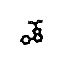 OB(O)c1cc2c(N3CCOCC3)cccc2o1